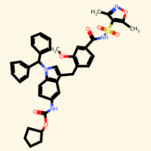 COc1cc(C(=O)NS(=O)(=O)c2c(C)noc2C)ccc1Cc1cn(C(c2ccccc2)c2ccccc2)c2ccc(NC(=O)OC3CCCC3)cc12